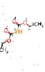 CCOC(=O)PC(=O)OCC